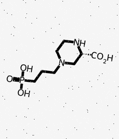 O=C(O)[C@@H]1CN(CCCP(=O)(O)O)CCN1